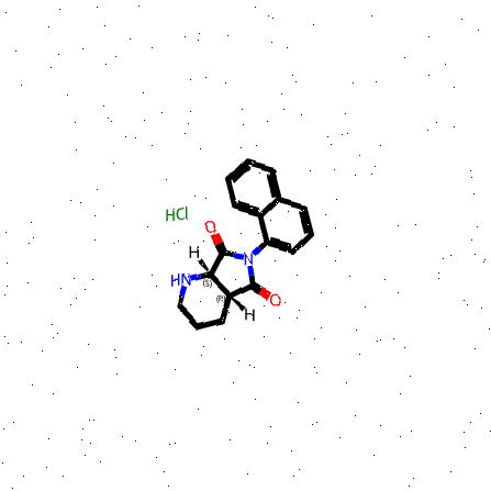 Cl.O=C1[C@H]2NCCC[C@H]2C(=O)N1c1cccc2ccccc12